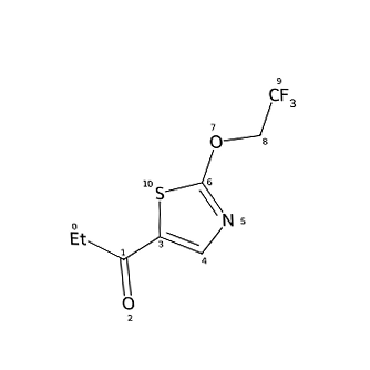 CCC(=O)c1cnc(OCC(F)(F)F)s1